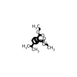 CCOC(=O)C1=C(C(=O)OCC)C2C(C)=CC1CC2C(C)C